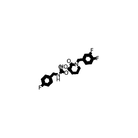 O=C(NCc1ccc(F)cc1)OC1(O)CCCN(Cc2ccc(F)c(F)c2)C1=O